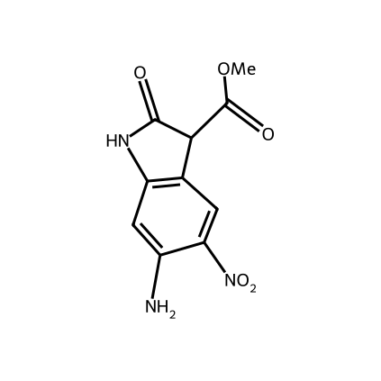 COC(=O)C1C(=O)Nc2cc(N)c([N+](=O)[O-])cc21